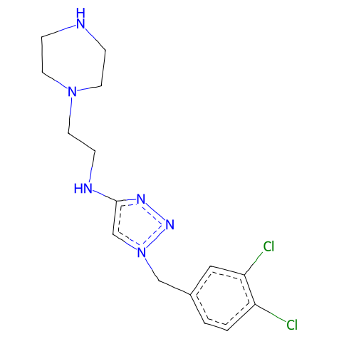 Clc1ccc(Cn2cc(NCCN3CCNCC3)nn2)cc1Cl